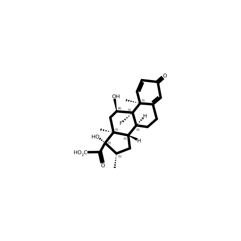 C[C@H]1C[C@H]2[C@@H]3CCC4=CC(=O)C=C[C@]4(C)[C@]3(F)[C@H](O)C[C@]2(C)[C@]1(O)C(=O)C(=O)O